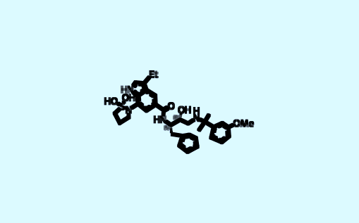 CCc1c[nH]c2c(N3CCCS3(O)O)cc(C(=O)N[C@@H](Cc3ccccc3)[C@H](O)CNC(C)(C)c3cccc(OC)c3)cc12